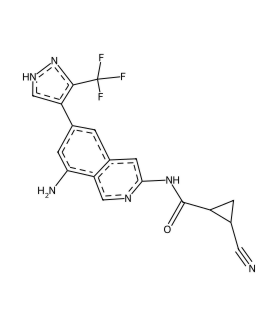 N#CC1CC1C(=O)Nc1cc2cc(-c3c[nH]nc3C(F)(F)F)cc(N)c2cn1